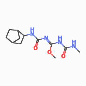 CNC(=O)NC(=NC(=O)NC1CC2CCC1C2)OC